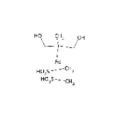 CC(=O)C(C)(CO)CO.CS(=O)(=O)O.CS(=O)(=O)O